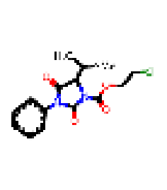 CSC(C)C1C(=O)N(c2ccccc2)C(=O)N1C(=O)OCCCl